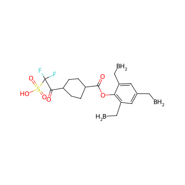 BCc1cc(CB)c(OC(=O)C2CCC(C(=O)C(F)(F)S(=O)(=O)O)CC2)c(CB)c1